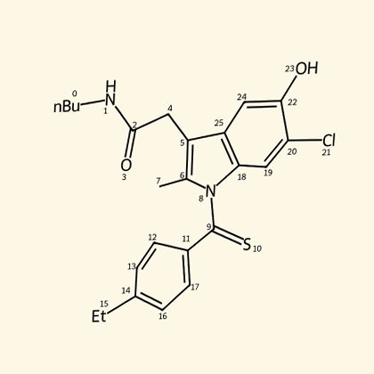 CCCCNC(=O)Cc1c(C)n(C(=S)c2ccc(CC)cc2)c2cc(Cl)c(O)cc12